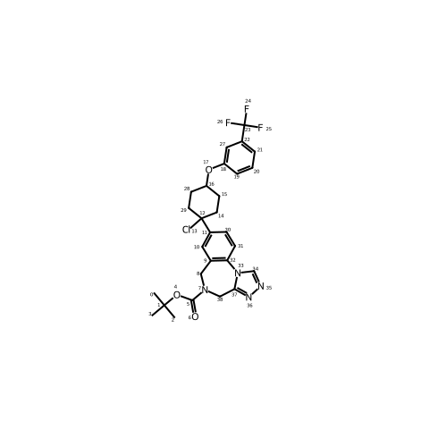 CC(C)(C)OC(=O)N1Cc2cc(C3(Cl)CCC(Oc4cccc(C(F)(F)F)c4)CC3)ccc2-n2cnnc2C1